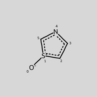 [O-][s+]1ccnc1